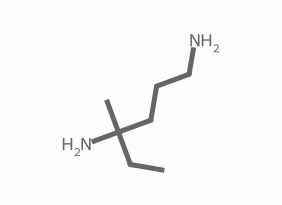 CCC(C)(N)CCCN